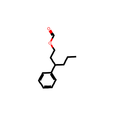 CCCC(CCOC=O)c1ccccc1